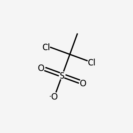 CC(Cl)(Cl)S([O])(=O)=O